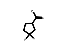 O=C(Cl)C1CCC(F)(F)C1